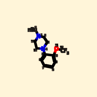 [CH2]CCCN1CCN(c2ccccc2OC(F)(F)F)CC1